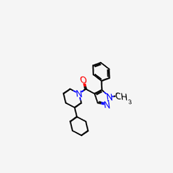 Cn1ncc(C(=O)N2CCCC(C3CCCCC3)C2)c1-c1ccccc1